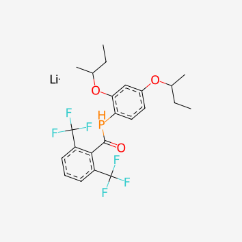 CCC(C)Oc1ccc(PC(=O)c2c(C(F)(F)F)cccc2C(F)(F)F)c(OC(C)CC)c1.[Li]